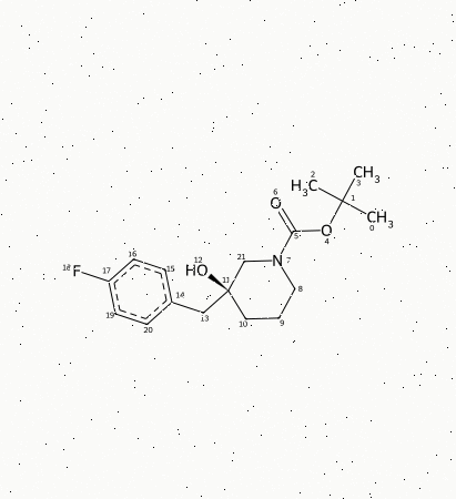 CC(C)(C)OC(=O)N1CCC[C@](O)(Cc2ccc(F)cc2)C1